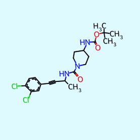 CC(C#Cc1ccc(Cl)c(Cl)c1)NC(=O)N1CCC(NC(=O)OC(C)(C)C)CC1